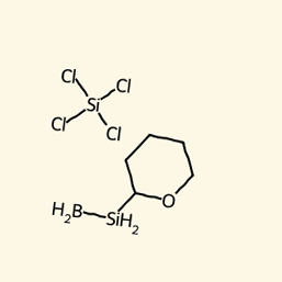 B[SiH2]C1CCCCO1.Cl[Si](Cl)(Cl)Cl